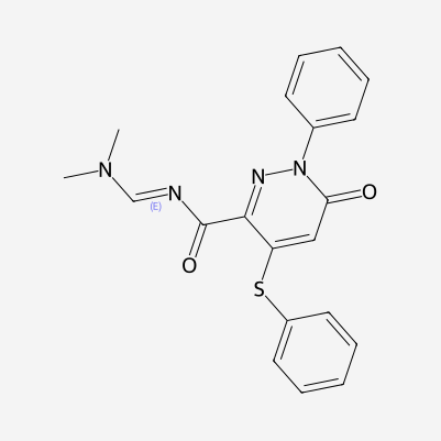 CN(C)/C=N/C(=O)c1nn(-c2ccccc2)c(=O)cc1Sc1ccccc1